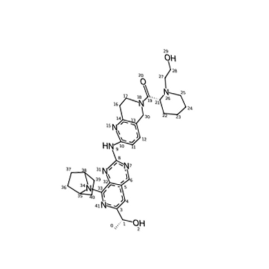 C[C@@H](O)c1cc2cnc(Nc3ccc4c(n3)CCN(C(=O)[C@H]3CCCCN3CCO)C4)nc2c(N2C3CCC2CC3)n1